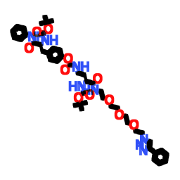 CC(C)(C)OC(=O)N[C@@H](CCNC(=O)Oc1ccc(C[C@H](NC(=O)OC(C)(C)C)C(=O)Nc2ccccc2)cc1)C(=O)NCCOCCOCCOCCn1cc(-c2ccccc2)nn1